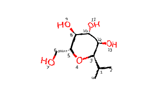 CC(C)[C@H]1O[C@H](CO)[C@@H](O)[C@H](O)[C@H]1O